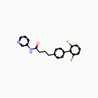 O=C(CCCc1ccc(-c2c(F)cccc2F)cc1)Nc1cccnc1